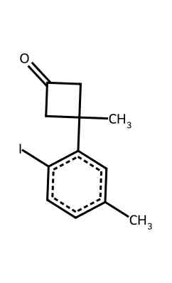 Cc1ccc(I)c(C2(C)CC(=O)C2)c1